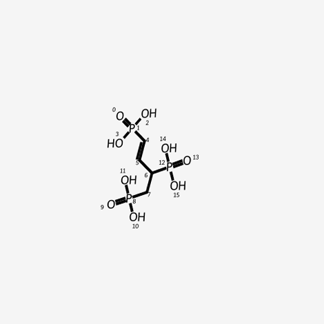 O=P(O)(O)/C=C/C(CP(=O)(O)O)P(=O)(O)O